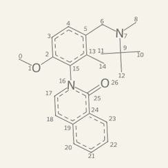 COc1ccc(CN(C)C(C)(C)C)c(C)c1-n1ccc2ccccc2c1=O